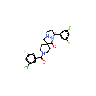 O=C(c1cc(F)cc(Cl)c1)N1CCC2(CC1)CN1CC[C@@H](c3cc(F)cc(F)c3)N1C2=O